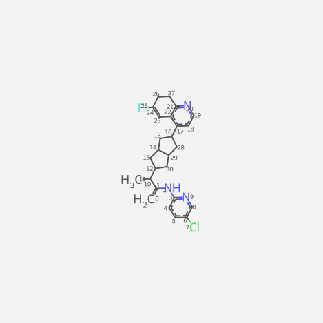 C=C(Nc1ccc(Cl)cn1)C(C)C1CC2CC(c3ccnc4c3C=C(F)CC4)CC2C1